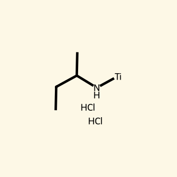 CCC(C)[NH][Ti].Cl.Cl